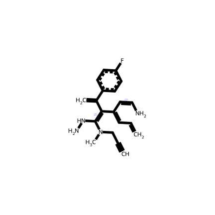 C#CCN(C)/C(NN)=C(/C(=C)c1ccc(F)cc1)C(=CC=C)/C=C\N